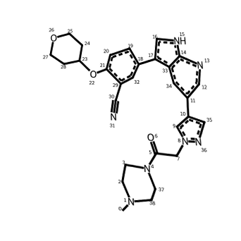 CN1CCN(C(=O)Cn2cc(-c3cnc4[nH]cc(-c5ccc(OC6CCOCC6)c(C#N)c5)c4c3)cn2)CC1